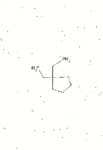 PCC1(CP)CCCC1